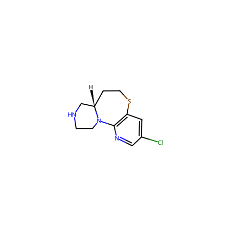 Clc1cnc2c(c1)SCC[C@H]1CNCCN21